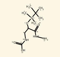 CC(C)(C)[Si](C)(C)OC(CNC(=O)O)C(=O)NN